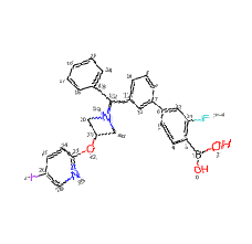 OB(O)c1ccc(-c2cccc(C(c3ccccc3)N3CC(Oc4ccc(I)cn4)C3)c2)cc1F